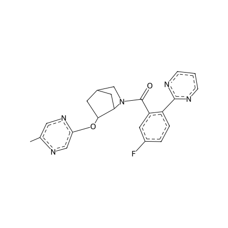 Cc1cnc(OC2CC3CC2N(C(=O)c2cc(F)ccc2-c2ncccn2)C3)cn1